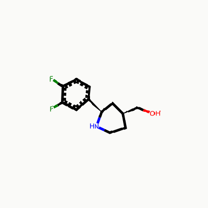 OC[C@H]1CCN[C@@H](c2ccc(F)c(F)c2)C1